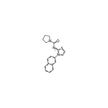 O=C(/N=c1\sccn1-c1ccc2ccccc2c1)N1CCCC1